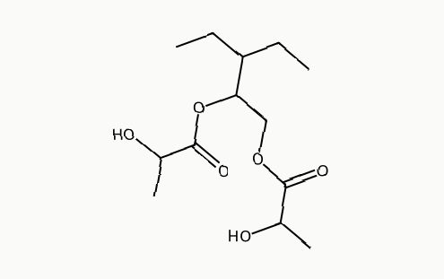 CCC(CC)C(COC(=O)C(C)O)OC(=O)C(C)O